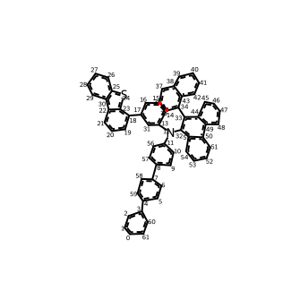 c1ccc(-c2ccc(-c3ccc(N(c4cccc(-c5cccc6c5sc5ccccc56)c4)c4c(-c5cccc6ccccc56)c5ccccc5c5ccccc45)cc3)cc2)cc1